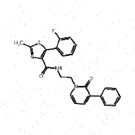 Cc1nc(C(=O)NCCn2cccc(-c3ccccc3)c2=O)c(-c2ccccc2F)s1